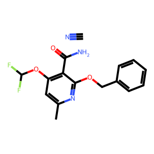 C#N.Cc1cc(OC(F)F)c(C(N)=O)c(OCc2ccccc2)n1